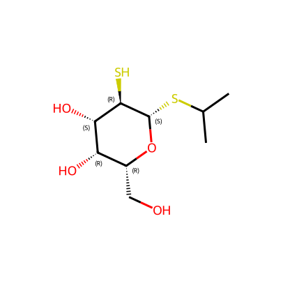 CC(C)S[C@@H]1O[C@H](CO)[C@H](O)[C@H](O)[C@H]1S